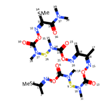 CSC(C)=NOC(=O)N(C)SN(C)C(=O)ON=C(C)C(C)=NOC(=O)N(C)SN(C)C(=O)ON=C(SC)C(=O)N(C)C